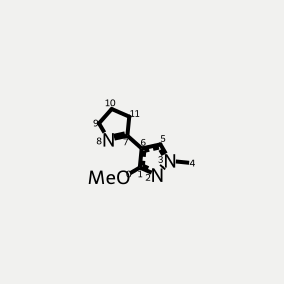 COc1nn(C)cc1C1=NCCC1